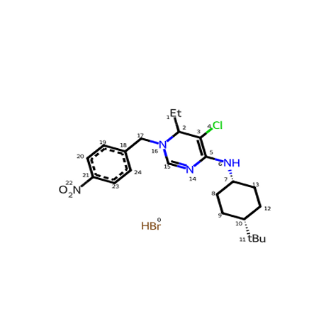 Br.CCC1C(Cl)=C(N[C@H]2CC[C@@H](C(C)(C)C)CC2)N=CN1Cc1ccc([N+](=O)[O-])cc1